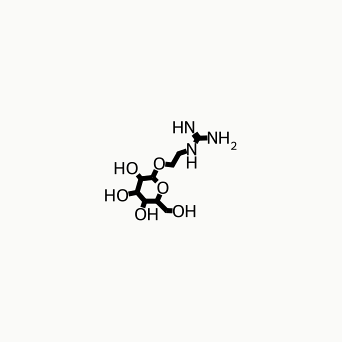 N=C(N)NCCOC1OC(CO)C(O)C(O)C1O